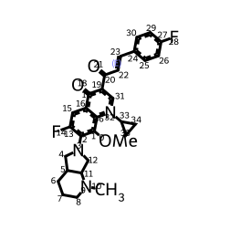 COc1c(N2CC3CCCN(C)C3C2)c(F)cc2c(=O)c(C(=O)/C=C/c3ccc(F)cc3)cn(C3CC3)c12